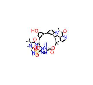 CCn1c(-c2cccnc2[C@H](C)OC)c2c3cc(ccc31)-c1cc(O)cc(c1)C[C@H](NC(=O)C(C(C)C)N(C)C(=O)CN(C)S(=O)(=O)[C@H]1CN1)C(=O)N1CCC[C@H](N1)C(=O)OCC(C)(C)C2